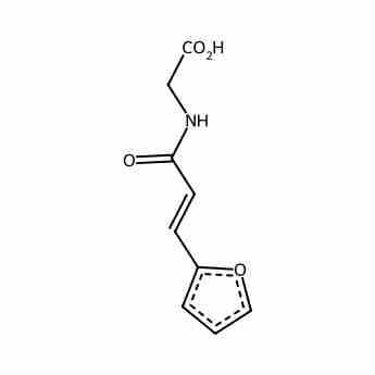 O=C(O)CNC(=O)C=Cc1ccco1